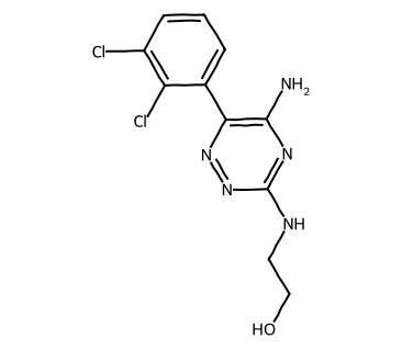 Nc1nc(NCCO)nnc1-c1cccc(Cl)c1Cl